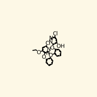 CCOc1cc(Cl)nnc1Oc1ccccc1Oc1ccccc1Oc1nnc(Cl)cc1O